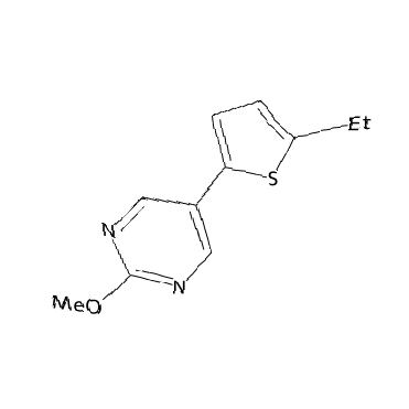 CCc1ccc(-c2cnc(OC)nc2)s1